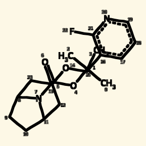 CC(C)(C)OC(=O)N1C2CCC1CC(OCc1cccnc1F)C2